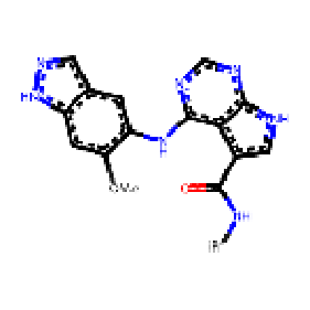 COc1cc2[nH]ncc2cc1Nc1ncnc2[nH]cc(C(=O)NC(C)C)c12